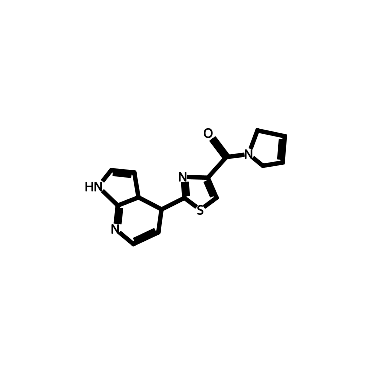 O=C(c1csc(C2C=CN=C3NC=CC32)n1)N1CC=CC1